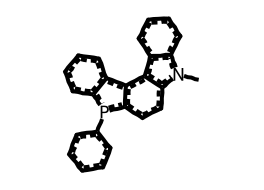 Cn1c2ccccc2c2c3c4ccccc4p(-c4ccccc4)c3ccc21